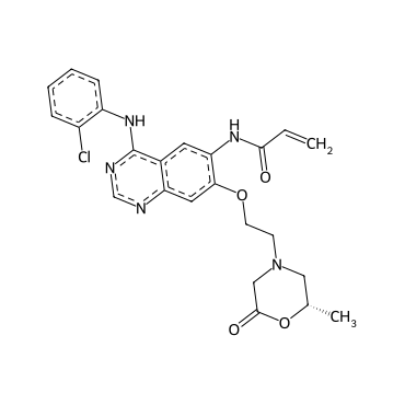 C=CC(=O)Nc1cc2c(Nc3ccccc3Cl)ncnc2cc1OCCN1CC(=O)O[C@@H](C)C1